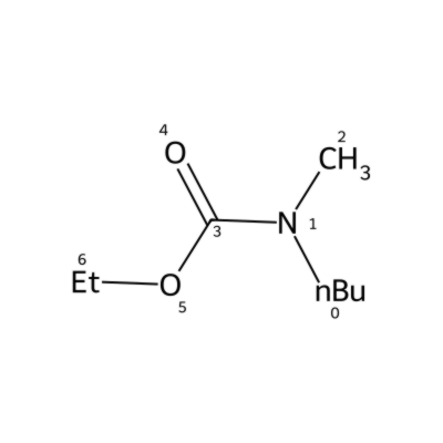 [CH2]CCCN(C)C(=O)OCC